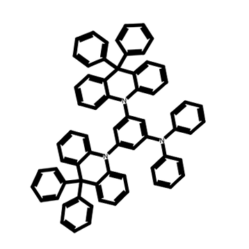 c1ccc(N(c2ccccc2)c2cc(N3c4ccccc4C(c4ccccc4)(c4ccccc4)c4ccccc43)cc(N3c4ccccc4C(c4ccccc4)(c4ccccc4)c4ccccc43)c2)cc1